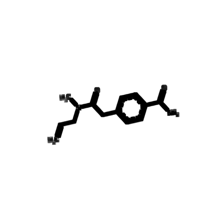 C=CCN(C)C(=O)Cc1ccc(C(N)=O)cc1